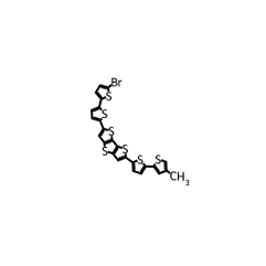 Cc1csc(-c2ccc(-c3cc4sc5cc(-c6ccc(-c7ccc(Br)s7)s6)sc5c4s3)s2)c1